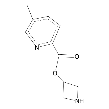 Cc1ccc(C(=O)OC2CNC2)nc1